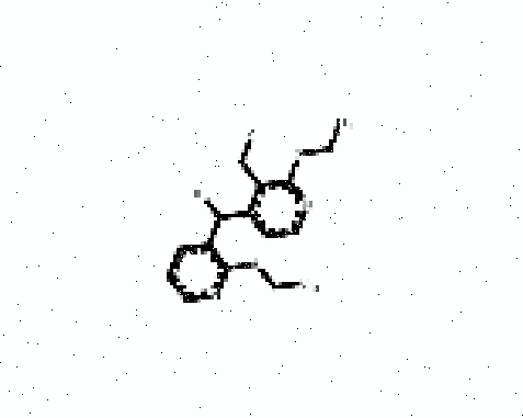 OC(c1cccnc1SCC(F)(F)F)c1ccnc(SCC(F)(F)F)c1CCl